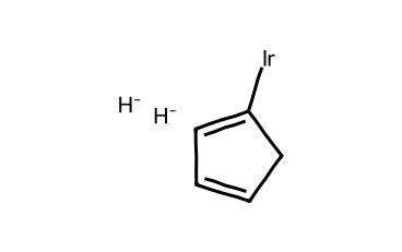 [H-].[H-].[Ir][C]1=CC=CC1